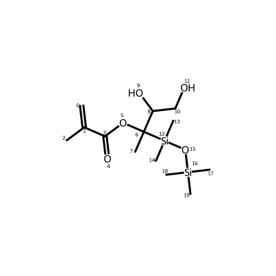 C=C(C)C(=O)OC(C)(C(O)CO)[Si](C)(C)O[Si](C)(C)C